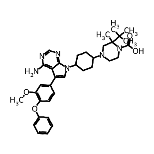 COc1cc(-c2cn(C3CCC(N4CCN(C(=O)O)C(C)(C(C)(C)C)C4)CC3)c3ncnc(N)c23)ccc1Oc1ccccc1